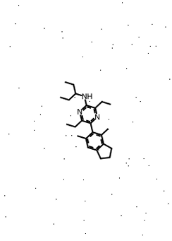 CCc1nc(-c2c(C)cc3c(c2C)CCC3)c(CC)nc1NC(CC)CC